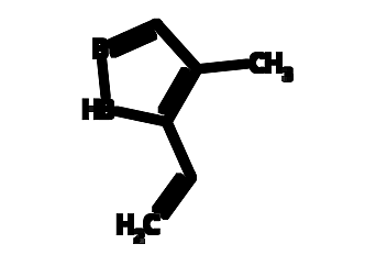 C=CC1=C(C)C=BB1